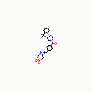 CC(C)(C)c1ccccc1N1CCN(C(=O)c2ccc(CNC3CCS(=O)(=O)CC3)cc2)CC1